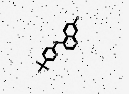 FC(F)(F)c1ccc(Nc2ccnc3cc(Cl)ccc23)nc1